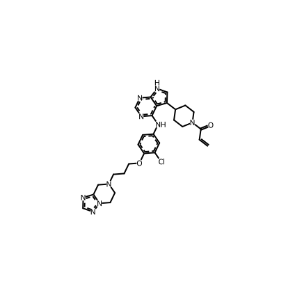 C=CC(=O)N1CCC(c2c[nH]c3ncnc(Nc4ccc(OCCCN5CCn6ncnc6C5)c(Cl)c4)c23)CC1